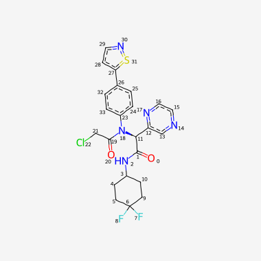 O=C(NC1CCC(F)(F)CC1)[C@H](c1cnccn1)N(C(=O)CCl)c1ccc(-c2ccns2)cc1